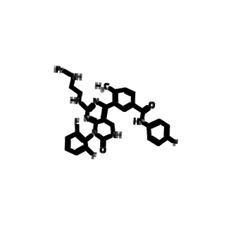 Cc1ccc(C(=O)Nc2ccc(F)cc2)cc1-c1nc(NCCNC(C)C)nc2c1CNC(=O)N2c1c(F)cccc1F